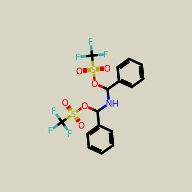 O=S(=O)(OC(NC(OS(=O)(=O)C(F)(F)F)c1ccccc1)c1ccccc1)C(F)(F)F